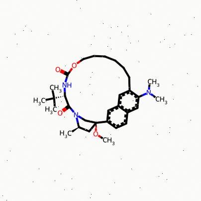 CO[C@@]12C[C@@H](C)N(C1)C(=O)[C@H](C(C)(C)C)NC(=O)OCCCCCCc1cc3cc2ccc3cc1N(C)C